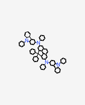 C1=CC2c3cc(N(c4ccccc4)c4cc5c6c(ccc7cc(N(c8ccccc8)c8ccc9c(c8)c8ccccc8n9-c8ccccc8)cc(c76)C5(c5ccccc5)c5ccccc5)c4)ccc3N(c3ccccc3)C2C=C1